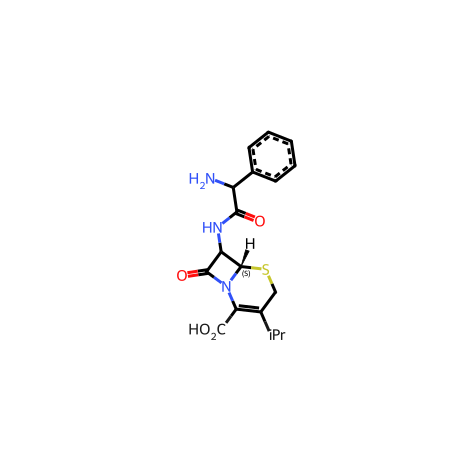 CC(C)C1=C(C(=O)O)N2C(=O)C(NC(=O)C(N)c3ccccc3)[C@@H]2SC1